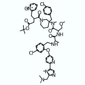 COCC(NC(=O)C(C)NCc1ccc(Cl)cc1Oc1ccc(-c2cnc(CN(C)C)n2C)nc1)C(=O)N(C)C1(Cc2ccc(Cl)cc2)CCCN(C(=O)C(CC(=O)OC(C)(C)C)Cc2cccc[n+]2[O-])C1